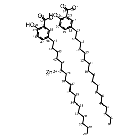 CCCCCCCCCCCCCCCCCCc1ccc(O)c(C(=O)[O-])c1.CCCCCCCCCCCCCCCCCCc1ccc(O)c(C(=O)[O-])c1.[Zn+2]